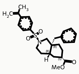 C=C(C)c1ccc(S(=O)(=O)N2CC[C@H]3C[C@@H](C(=O)OC)CC[C@]3(Cc3ccccc3)C2)cc1